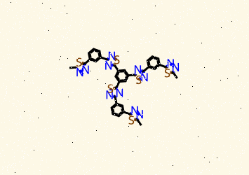 Cc1nnc(-c2cccc(-c3nsc(-c4cc(-c5nc(-c6cccc(-c7nnc(C)s7)c6)ns5)cc(-c5nc(-c6cccc(-c7nnc(C)s7)c6)ns5)c4)n3)c2)s1